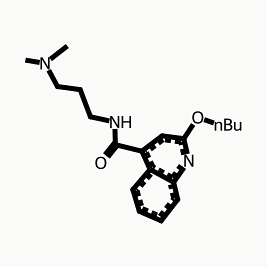 CCCCOc1cc(C(=O)NCCCN(C)C)c2ccccc2n1